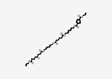 C=CCOC(=O)CCCC(=O)CCC(=O)OC/C=C/C=C/COC(=O)CCCCC(=O)OC/C=C/C=C/COC(=O)c1ccc(C(=O)OCC=C)cc1